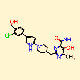 Cc1nc(CC2CCN(C3=CC=C(c4ccc(CO)c(Cl)c4)CN3)CC2)nc(C(N)=O)c1O